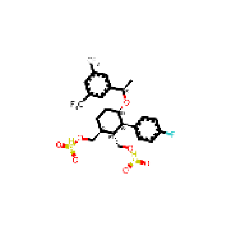 C[C@@H](O[C@H]1CC[C@H](CO[SH](=O)=O)[C@@H](CO[SH](=O)=O)[C@@H]1c1ccc(F)cc1)c1cc(C(F)(F)F)cc(C(F)(F)F)c1